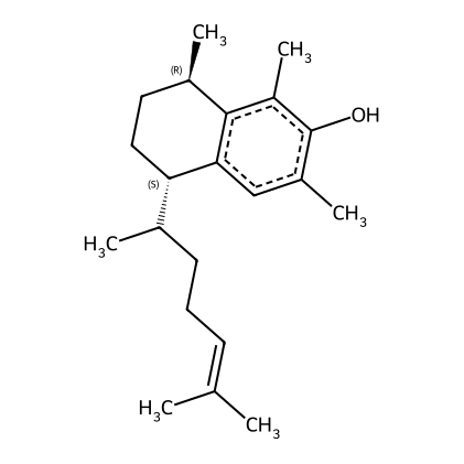 CC(C)=CCCC(C)[C@@H]1CC[C@@H](C)c2c1cc(C)c(O)c2C